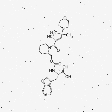 CC(C)(/C=C(\C#N)C(=O)N1CCCC[C@@H]1COC(=O)N[C@@H](Cc1coc2ccccc12)B(O)O)N1CCOCC1